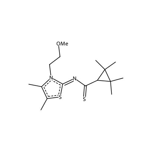 COCCn1c(C)c(C)sc1=NC(=S)C1C(C)(C)C1(C)C